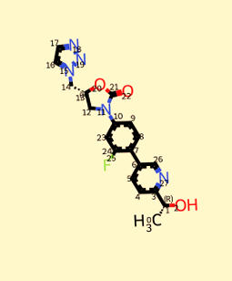 C[C@@H](O)c1ccc(-c2ccc(N3C[C@H](Cn4ccnn4)OC3=O)cc2F)cn1